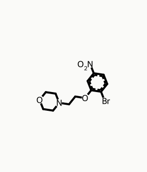 O=[N+]([O-])c1ccc(Br)c(OCCN2CCOCC2)c1